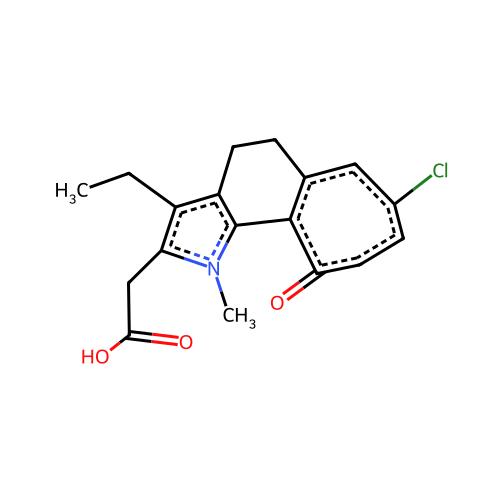 CCc1c2c(n(C)c1CC(=O)O)-c1c(cc(Cl)ccc1=O)CC2